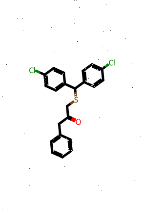 O=C(CSC(c1ccc(Cl)cc1)c1ccc(Cl)cc1)Cc1ccccc1